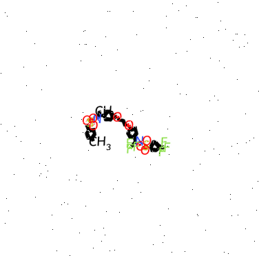 C/C(=N\OS(=O)(=O)Cc1ccc(C)cc1)c1ccc(OCCCOc2ccc(/C(=N/OS(=O)(=O)c3ccc(C(F)(F)F)cc3)C(F)(F)F)cc2)cc1